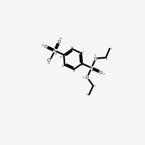 CCOP(=O)(OCC)c1ccc(S(=O)(=O)Cl)cc1